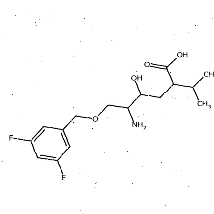 CC(C)C(CC(O)C(N)COCc1cc(F)cc(F)c1)C(=O)O